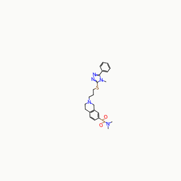 CN(C)S(=O)(=O)c1ccc2c(c1)CN(CCCSc1nnc(-c3ccccc3)n1C)CC2